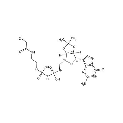 CC1(C)O[C@@H]2[C@H](O1)[C@@H](CPP(=O)(O)PP(=O)(O)OCCNC(=O)CCl)O[C@H]2n1cnc2c(=O)[nH]c(N)nc21